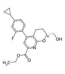 CCOC(=O)c1cc(-c2ccc(C3CC3)cc2F)c2c(n1)O[C@@H](CO)CC2